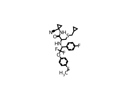 CSc1ccc(OC(F)(F)[C@H](NC(CSCC2CC2)C(=O)NC2(C#N)CC2)c2ccc(F)cc2)cc1